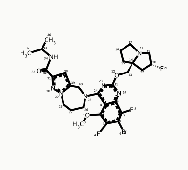 COc1c(F)c(Br)c(F)c2nc(OC[C@@]34CCCN3C[C@H](F)C4)nc(N3CCCn4nc(C(=O)NC(C)C)cc4C3)c12